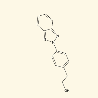 OCCc1ccc(-n2nc3ccccc3n2)cc1